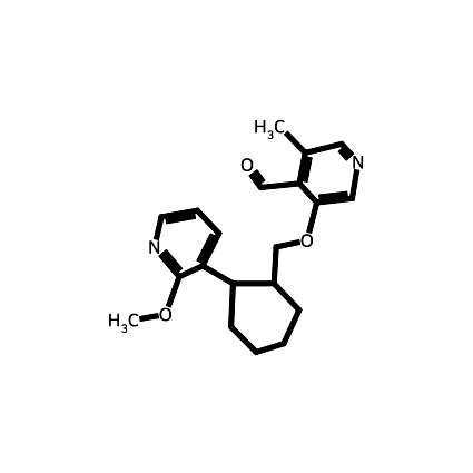 COc1ncccc1C1CCCCC1COc1cncc(C)c1C=O